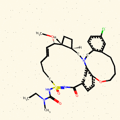 CCN(C)C(=O)NS1(=O)=NC(=O)c2ccc3c(c2)N(Cc2ccc(Cl)cc2CCCCO3)C[C@@H]2CC[C@H]2[C@@H](OC)/C=C/CCC1